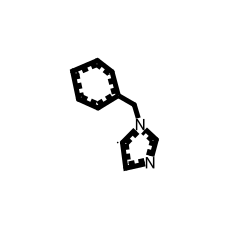 [c]1cncn1Cc1ccccc1